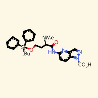 CN[C@H](CCO[Si](c1ccccc1)(c1ccccc1)C(C)(C)C)C(=O)Nc1ccc2c(cnn2C(=O)O)n1